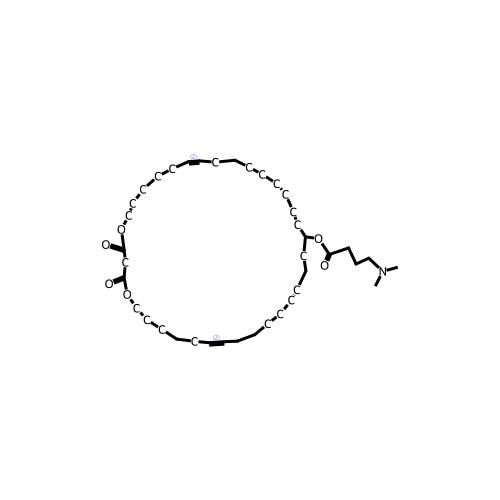 CN(C)CCCC(=O)OC1CCCCCCCC/C=C\CCCCCOC(=O)CC(=O)OCCCCC/C=C\CCCCCCCC1